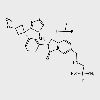 CO[C@H]1C[C@](c2cccc(N3Cc4c(cc(CNCC(C)(C)F)cc4C(F)(F)F)C3=O)c2)(c2nncn2C)C1